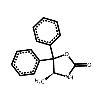 C[C@@H]1NC(=O)OC1(c1ccccc1)c1ccccc1